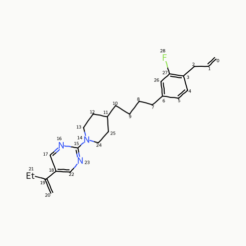 C=CCc1ccc(CCCCC2CCN(c3ncc(C(=C)CC)cn3)CC2)cc1F